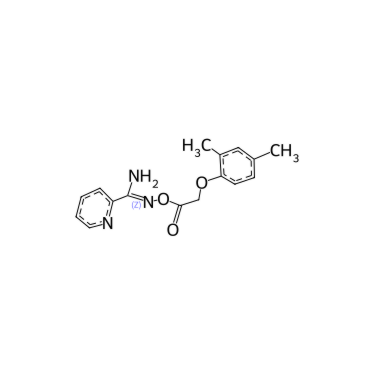 Cc1ccc(OCC(=O)O/N=C(\N)c2ccccn2)c(C)c1